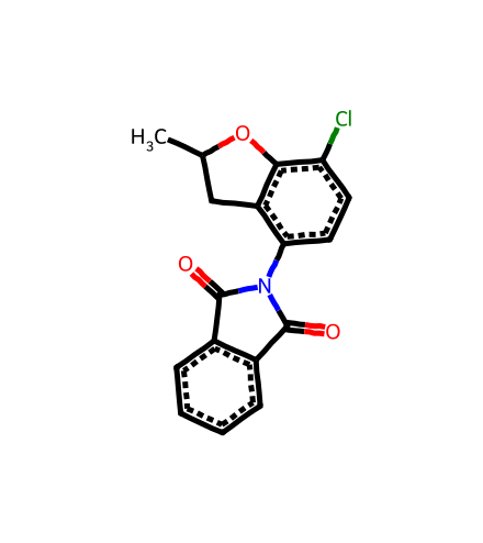 CC1Cc2c(N3C(=O)c4ccccc4C3=O)ccc(Cl)c2O1